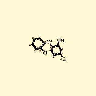 Oc1cc(Cl)ccc1Oc1ccccc1Cl